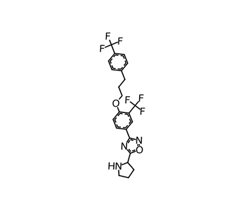 FC(F)(F)c1ccc(CCCOc2ccc(-c3noc(C4CCCN4)n3)cc2C(F)(F)F)cc1